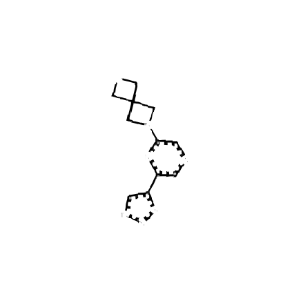 c1[nH]nnc1-c1cncc(N2CC3(COC3)C2)n1